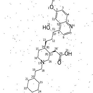 COc1ccc2nccc([C@@H](O)CC[C@@H]3CCN(CCC4CCCCC4)C[C@@H]3CC(=O)O)c2c1